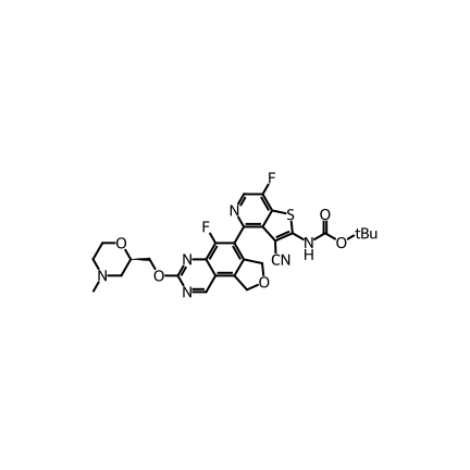 CN1CCO[C@@H](COc2ncc3c4c(c(-c5ncc(F)c6sc(NC(=O)OC(C)(C)C)c(C#N)c56)c(F)c3n2)COC4)C1